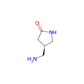 NC[C@@H]1CNC(=O)C1